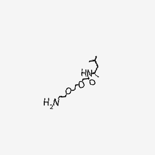 CC(C)C[C@@H](C)NC(=O)COCCOCCN